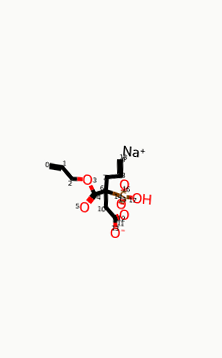 C=CCOC(=O)C(CC=C)(CC(=O)[O-])S(=O)(=O)O.[Na+]